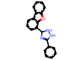 c1ccc(C2=NC(c3cccc4c3oc3ccccc34)NN2)cc1